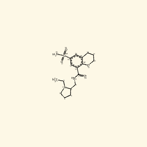 CCN1CCCC1CNC(=O)c1cc(S(N)(=O)=O)cc2c1OCCC2